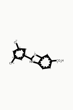 O=C(O)c1ccc2c(c1)OC(c1cc(Cl)cc(Cl)c1)N2